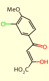 COc1ccc(C(=O)C=C(O)C(=O)O)cc1Cl